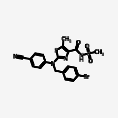 Cc1sc(N(Cc2ccc(Br)cc2)c2ccc(C#N)cc2)nc1C(=O)NS(C)(=O)=O